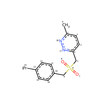 Cc1ccc(CS(=O)(=O)Cc2ccc(C(C)C)cc2)nn1